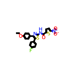 CCOc1ccc(-c2nc(NC(=O)c3ccc([N+](=O)[O-])s3)sc2-c2ccc(F)cc2)cc1